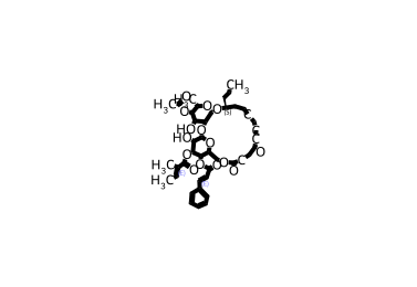 C/C=C(\C)C(=O)OC1C(O)C2OC(COC(=O)CCC(=O)CCCCCC[C@H](CCC)OC3OC(C)C(OC(C)=O)C(O)C3O2)C1OC(=O)/C=C/c1ccccc1